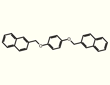 c1ccc2cc(COc3ccc(OCc4ccc5ccccc5c4)cc3)ccc2c1